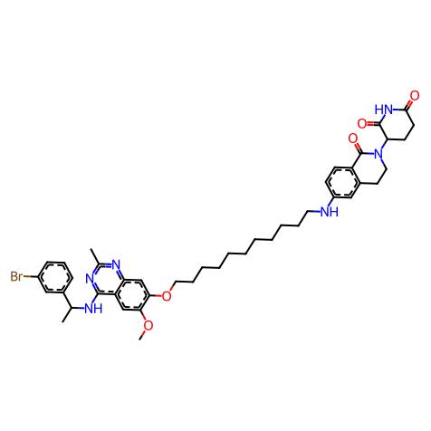 COc1cc2c(NC(C)c3cccc(Br)c3)nc(C)nc2cc1OCCCCCCCCCCCNc1ccc2c(c1)CCN(C1CCC(=O)NC1=O)C2=O